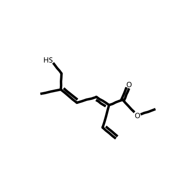 C=C/C(=C\C=C(\C)CS)C(=O)OC